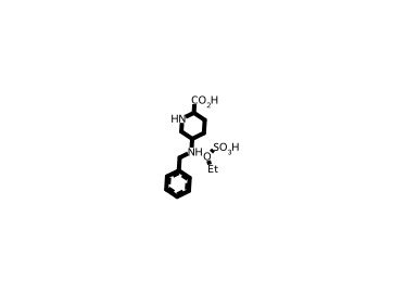 CCOS(=O)(=O)O.O=C(O)C1CCC(NCc2ccccc2)CN1